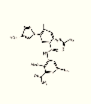 CC(C)(C)C(N)=O.COc1c(NC(=O)c2ccc(C)c(-n3cc(C(=O)O)nn3)c2)cc(C(C)(C)C)cc1C(N)=O